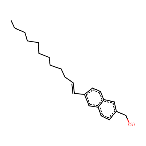 CCCCCCCCCCC=Cc1ccc2cc(CO)ccc2c1